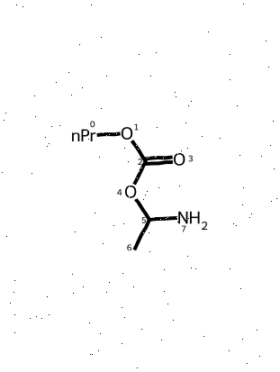 CCCOC(=O)OC(C)N